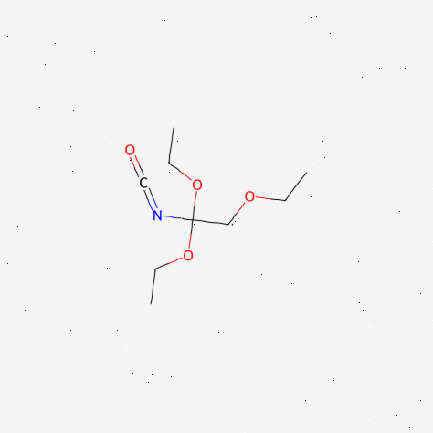 CCO[CH]C(N=C=O)(OCC)OCC